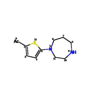 CC(=O)c1ccc(N2CCCNCC2)s1